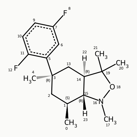 C[C@H]1C[C@@](C)(c2cc(F)ccc2F)C[C@@H]2[C@@H]1N(C)OC2(C)C